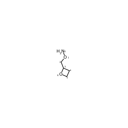 NOCC1CCO1